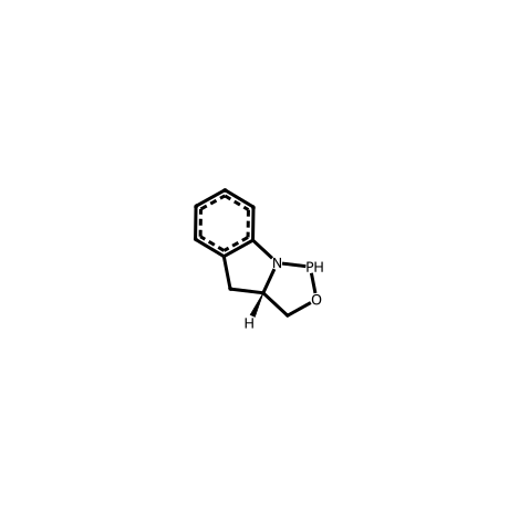 c1ccc2c(c1)C[C@H]1COPN21